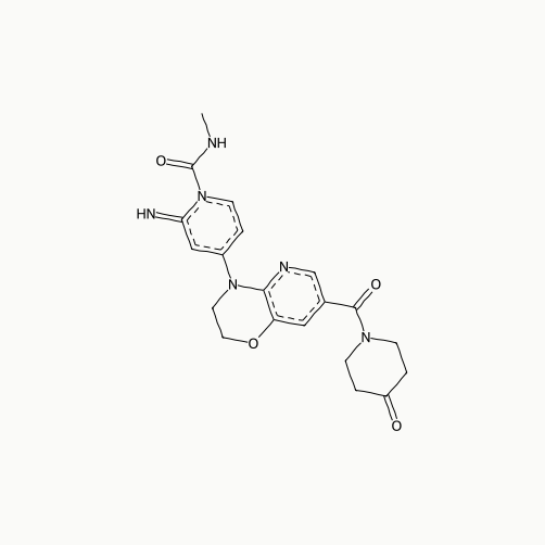 CNC(=O)n1ccc(N2CCOc3cc(C(=O)N4CCC(=O)CC4)cnc32)cc1=N